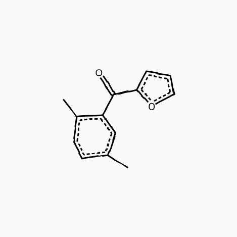 Cc1ccc(C)c(C(=O)c2ccco2)c1